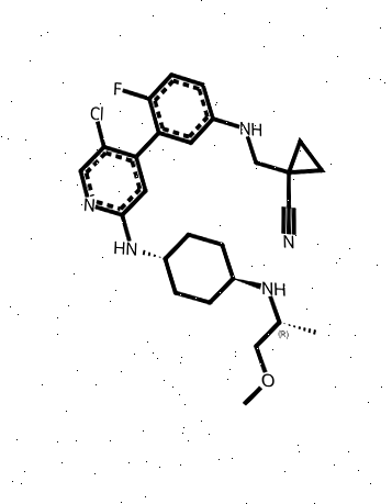 COC[C@@H](C)N[C@H]1CC[C@H](Nc2cc(-c3cc(NCC4(C#N)CC4)ccc3F)c(Cl)cn2)CC1